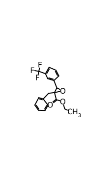 CCOC(=O)C1(Cc2ccccc2)OC1c1cccc(C(F)(F)F)c1